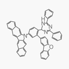 c1ccc(C2=NC(c3ccc(-n4c5cc6ccccc6cc5c5cc6ccccc6cc54)cc3-c3ccc4oc5ccccc5c4c3)NC(c3ccccc3)=N2)cc1